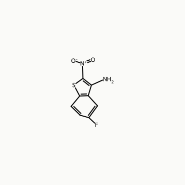 Nc1c([N+](=O)[O-])sc2ccc(F)cc12